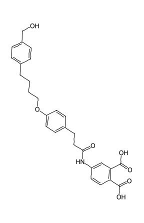 O=C(CCc1ccc(OCCCCc2ccc(CO)cc2)cc1)Nc1ccc(C(=O)O)c(C(=O)O)c1